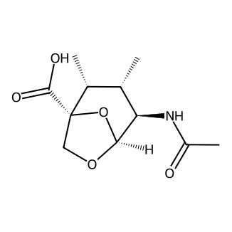 CC(=O)N[C@H]1[C@H]2OC[C@](C(=O)O)(O2)[C@H](C)[C@@H]1C